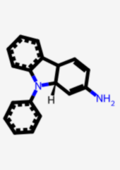 NC1=C[C@H]2C(C=C1)c1ccccc1N2c1ccccc1